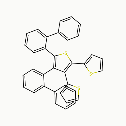 c1ccc(-c2ccccc2-c2sc(-c3cccs3)c(-c3cccs3)c2-c2ccccc2-c2ccccc2)cc1